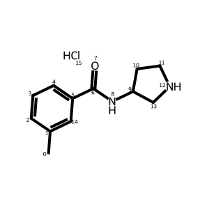 Cc1cccc(C(=O)NC2CCNC2)c1.Cl